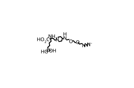 [N-]=[N+]=NCCOCCOCCNC1CCN(CCC(N)(CCCCB(O)O)C(=O)O)CC1